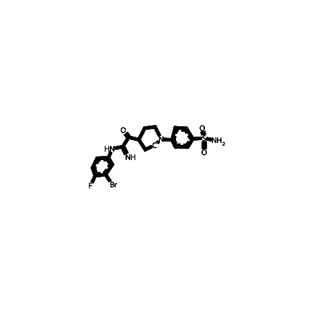 N=C(Nc1ccc(F)c(Br)c1)C(=O)C1CCN(c2ccc(S(N)(=O)=O)cc2)CC1